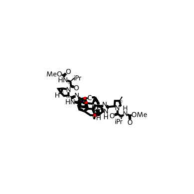 COC(=O)N[C@H](C(=O)N1C[C@H](C)CC1c1nc2cc(-c3cc4ccc3C[C@@H](C)c3ccc(c(-c5ccc6[nH]c([C@@H]7C[C@H]8CC8N7C(=O)[C@@H](NC(=O)OC)C(C)C)nc6c5)c3)CC4)ccc2[nH]1)C(C)C